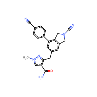 Cn1cc(C(N)=O)c(Cc2cc3c(c(-c4ccc(C#N)cc4)c2)CN(C#N)C3)n1